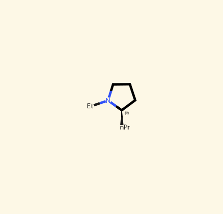 CCC[C@@H]1CCCN1CC